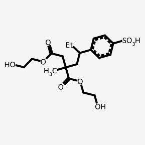 CCC(CC(C)(CC(=O)OCCO)C(=O)OCCO)c1ccc(S(=O)(=O)O)cc1